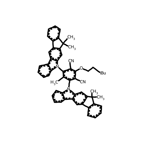 CCC(C)CCOc1c(C#N)c(-n2c3ccccc3c3cc4c(cc32)C(C)(C)c2ccccc2-4)c(C)c(-n2c3ccccc3c3cc4c(cc32)C(C)(C)c2ccccc2-4)c1C#N